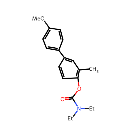 CCN(CC)C(=O)Oc1ccc(-c2ccc(OC)cc2)cc1C